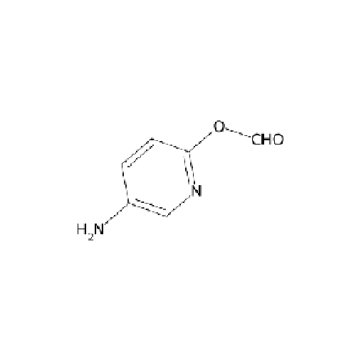 Nc1ccc(OC=O)nc1